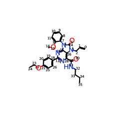 C=CCn1c(=O)n(-c2ccccc2OC)c2nc(-c3ccc(OCC)cc3)nc(C(=O)NCCCC)c21